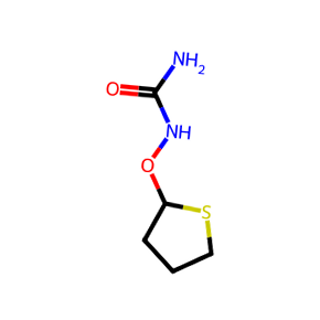 NC(=O)NOC1CCCS1